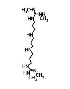 CN=C(NC)NCCCNCCCNCCCNC(=NC)NC